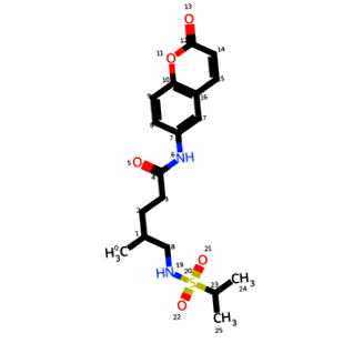 CC(CCC(=O)Nc1ccc2oc(=O)ccc2c1)CNS(=O)(=O)C(C)C